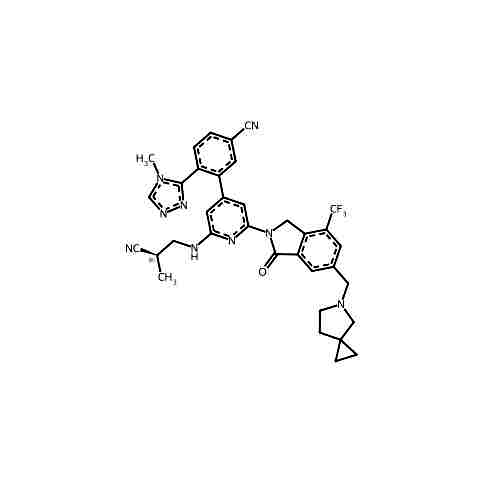 C[C@@H](C#N)CNc1cc(-c2cc(C#N)ccc2-c2nncn2C)cc(N2Cc3c(cc(CN4CCC5(CC5)C4)cc3C(F)(F)F)C2=O)n1